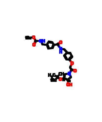 CC(C)(C)OC(=O)NCc1ccc(C(=O)NCc2ccc(OCC(=O)N3C[C@@H](O)[C@H](O[Si](C)(C)C(C)(C)C)C3)cc2)cc1